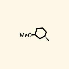 COC1CCC[C@@H](C)C1